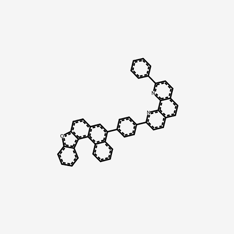 c1ccc(-c2ccc3ccc4ccc(-c5ccc(-c6cc7ccc8oc9ccccc9c8c7c7ccccc67)cc5)nc4c3n2)cc1